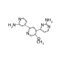 COc1cnc(-c2ccnc(N)c2)cc1-c1ccnc(N)n1